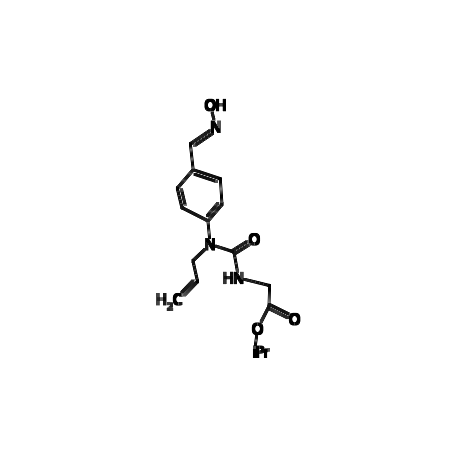 C=CCN(C(=O)NCC(=O)OC(C)C)c1ccc(C=NO)cc1